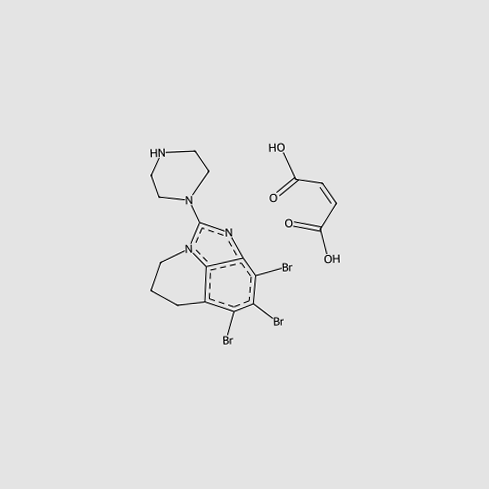 Brc1c(Br)c2c3c(nc(N4CCNCC4)n3CCC2)c1Br.O=C(O)/C=C\C(=O)O